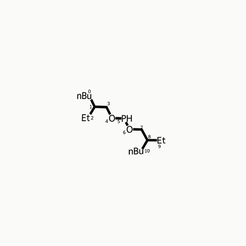 CCCCC(CC)COPOCC(CC)CCCC